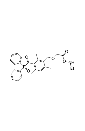 CCNOC(=O)COCc1c(C)cc(C)c(C(=O)P(=O)(c2ccccc2)c2ccccc2)c1C